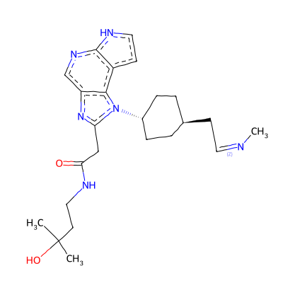 C/N=C\C[C@H]1CC[C@H](n2c(CC(=O)NCCC(C)(C)O)nc3cnc4[nH]ccc4c32)CC1